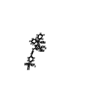 CC(C)(C)[Si](C)(C)OC(CC#Cc1ccc(C2(C(F)(F)F)NN2)cc1)CO[Si](c1ccccc1)(c1ccccc1)C(C)(C)C